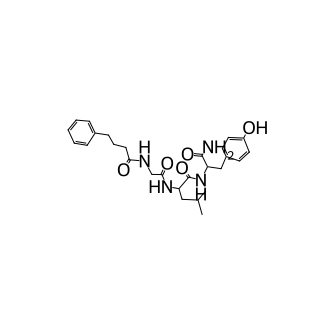 CC(C)CC(NC(=O)CNC(=O)CCCc1ccccc1)C(=O)NC(Cc1ccc(O)cc1)C(N)=O